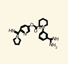 N=C(N)c1cccc(N2CCCC[C@@H]2C(=O)Oc2ccc(C(=N)N3CCCC3)nc2)c1